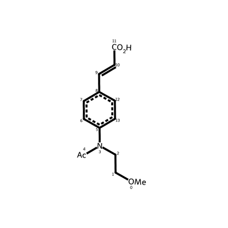 COCCN(C(C)=O)c1ccc(C=CC(=O)O)cc1